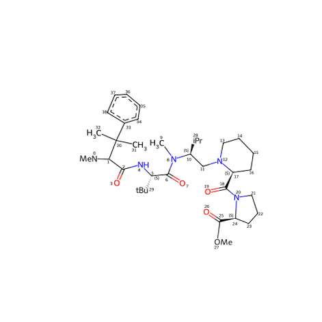 CNC(C(=O)N[C@H](C(=O)N(C)[C@H](CN1CCCC[C@H]1C(=O)N1CCC[C@H]1C(=O)OC)C(C)C)C(C)(C)C)C(C)(C)c1ccccc1